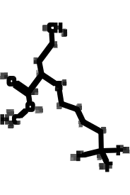 CCCC(SCCCCC(F)(F)F)C(=O)OC